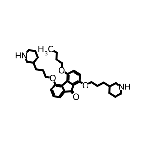 CCCCOc1ccc(OCCCC2CCCNC2)c2c1-c1c(OCCCC3CCCNC3)cccc1C2=O